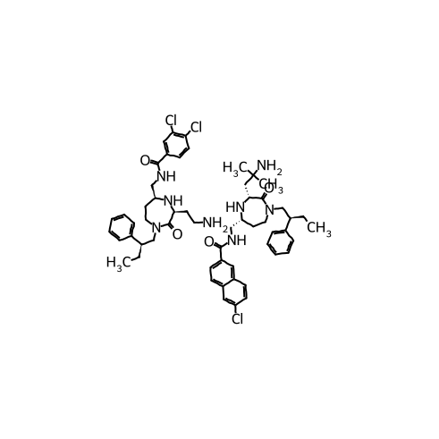 CC[C@H](CN1CC[C@@H](CNC(=O)c2ccc(Cl)c(Cl)c2)N[C@@H](CCN)C1=O)c1ccccc1.CC[C@H](CN1CC[C@H](CNC(=O)c2ccc3cc(Cl)ccc3c2)N[C@H](CC(C)(C)N)C1=O)c1ccccc1